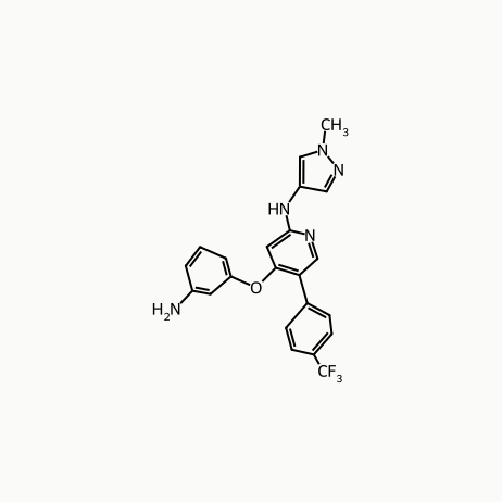 Cn1cc(Nc2cc(Oc3cccc(N)c3)c(-c3ccc(C(F)(F)F)cc3)cn2)cn1